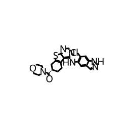 O=C([C@H]1CCc2c(sc3ncnc(Nc4cc5cn[nH]c5cc4Cl)c23)C1)N1CCOCC1